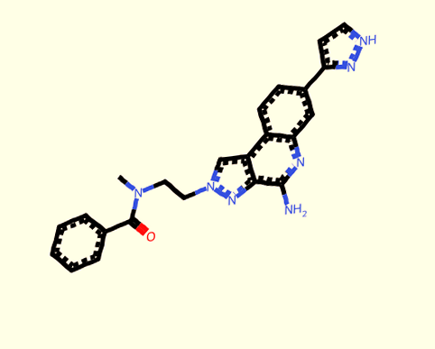 CN(CCn1cc2c(n1)c(N)nc1cc(-c3cc[nH]n3)ccc12)C(=O)c1ccccc1